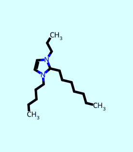 CCCCCCCC1N(CCC)C=CN1CCCCC